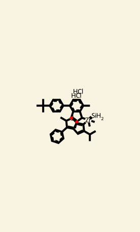 CC1=Cc2c(-c3ccc(C(C)(C)C)cc3)ccc(C)c2[CH]1[Zr]([CH3])([CH3])(=[SiH2])[C]1=C2SC(C)C(c3ccccc3)=C2C=C1C(C)C.Cl.Cl